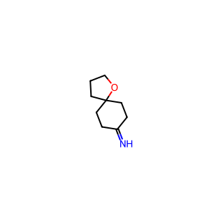 N=C1CCC2(CCCO2)CC1